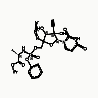 C#C[C@@]1(O)[C@H](O)C(CO[P@@](=O)(N[C@@H](C)C(=O)OC(C)C)Oc2ccccc2)(N=[N+]=[N-])O[C@H]1n1ccc(=O)[nH]c1=O